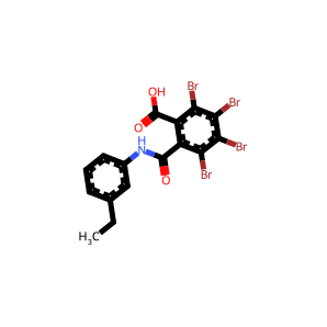 CCc1cccc(NC(=O)c2c(Br)c(Br)c(Br)c(Br)c2C(=O)O)c1